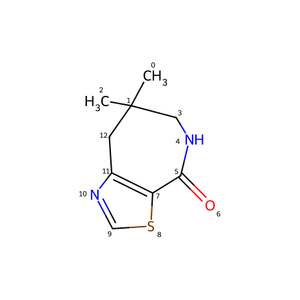 CC1(C)CNC(=O)c2scnc2C1